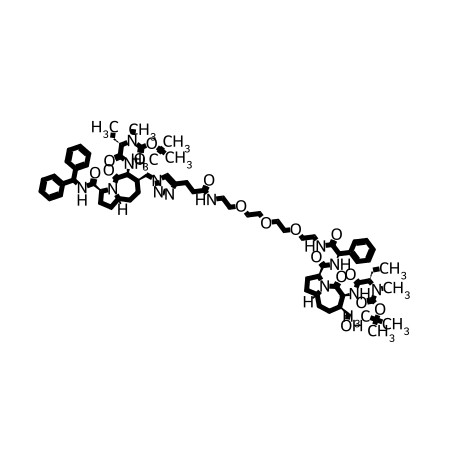 CC[C@@H](C(=O)N[C@@H]1C(=O)N2[C@@H](CC[C@@H]1Cn1cc(CCC(=O)NCCOCCOCCOCCNC(=O)[C@@H](NC(=O)[C@@H]3CC[C@@H]4CC[C@H](CO)[C@H](NC(=O)[C@H](CC)N(C)C(=O)OC(C)(C)C)C(=O)N43)c3ccccc3)nn1)CC[C@H]2C(=O)NC(c1ccccc1)c1ccccc1)N(C)C(=O)OC(C)(C)C